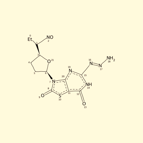 CCC(N=O)[C@@H]1CC[C@H](n2c(=O)sc3c(=O)[nH]c(N=NN)nc32)O1